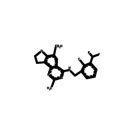 Cc1nc(NCc2cccc(C(F)F)c2F)c2cc(C(=O)O)c3c(c2n1)CCO3